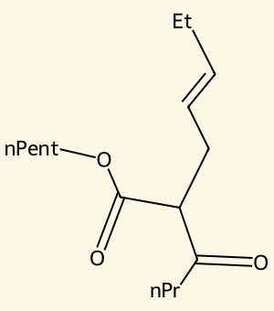 CCC=CCC(C(=O)CCC)C(=O)OCCCCC